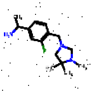 CC(N)c1ccc(CN2CN(C)C(C)(C)C2)c(F)c1